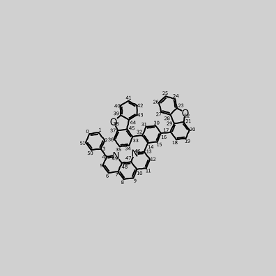 c1ccc(-c2ccc3ccc4ccc(-c5cc(-c6cccc7oc8ccccc8c67)ccc5-c5cccc6oc7ccccc7c56)nc4c3n2)cc1